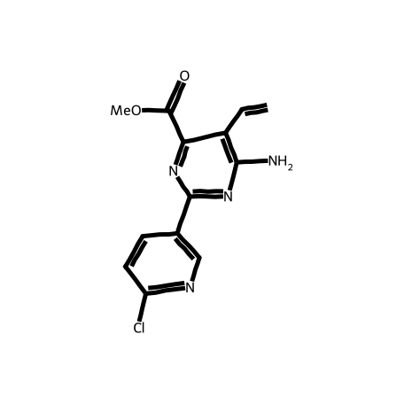 C=Cc1c(N)nc(-c2ccc(Cl)nc2)nc1C(=O)OC